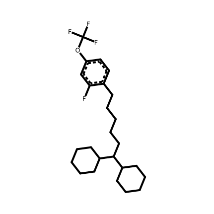 Fc1cc(OC(F)(F)F)ccc1CCCCCC(C1CCCCC1)C1CCCCC1